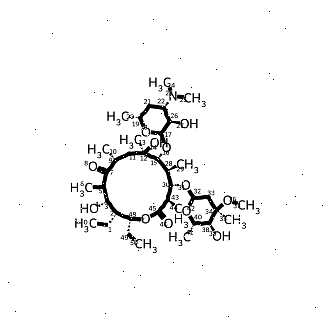 CC[C@@H]1[C@H](O)C(C)C(=O)[C@H](C)C[C@@](C)(O)[C@H](OC2O[C@H](C)C[C@H](N(C)C)[C@H]2O)[C@@H](C)[C@H](OC2C[C@@](C)(OC)[C@@H](O)[C@H](C)O2)[C@@H](C)C(=O)O[C@@H]1CC